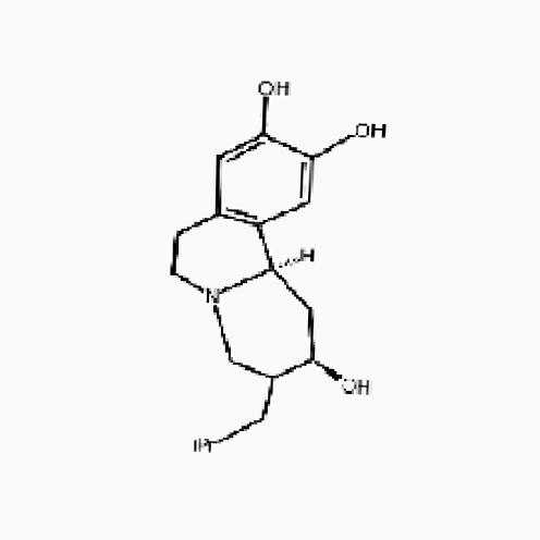 CC(C)CC1CN2CCc3cc(O)c(O)cc3[C@H]2C[C@H]1O